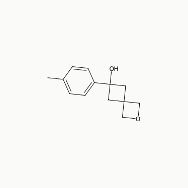 Cc1ccc(C2(O)CC3(COC3)C2)cc1